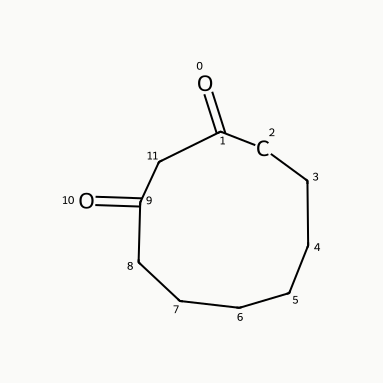 O=C1CCCCCCCC(=O)C1